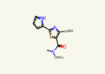 COc1nc(-c2ccc[nH]2)sc1C(=O)N(C)OC